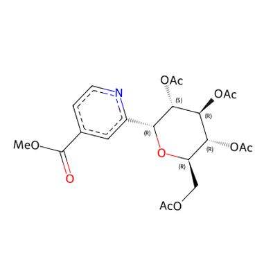 COC(=O)c1ccnc([C@H]2O[C@H](COC(C)=O)[C@@H](OC(C)=O)[C@H](OC(C)=O)[C@H]2OC(C)=O)c1